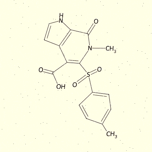 Cc1ccc(S(=O)(=O)c2c(C(=O)O)c3cc[nH]c3c(=O)n2C)cc1